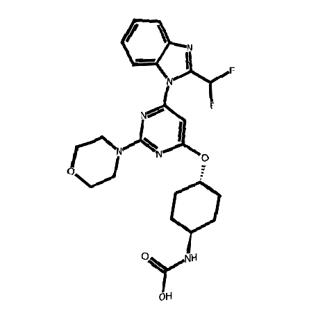 O=C(O)N[C@H]1CC[C@H](Oc2cc(-n3c(C(F)F)nc4ccccc43)nc(N3CCOCC3)n2)CC1